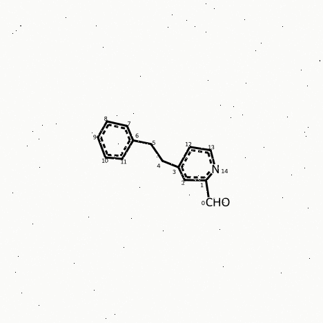 O=Cc1cc(CCc2ccccc2)ccn1